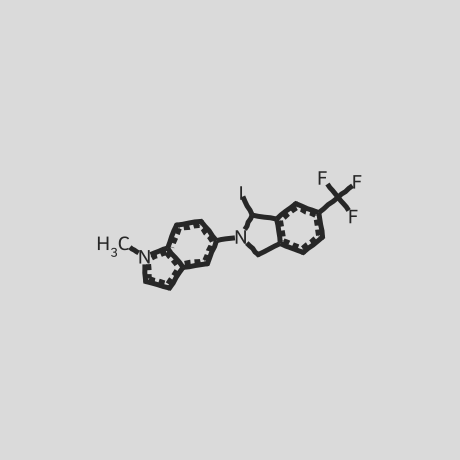 Cn1ccc2cc(N3Cc4ccc(C(F)(F)F)cc4C3I)ccc21